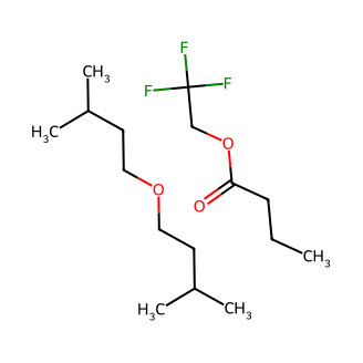 CC(C)CCOCCC(C)C.CCCC(=O)OCC(F)(F)F